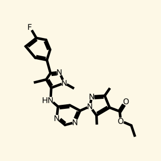 CCOC(=O)c1c(C)nn(-c2cc(Nc3c(C)c(-c4ccc(F)cc4)nn3C)ncn2)c1C